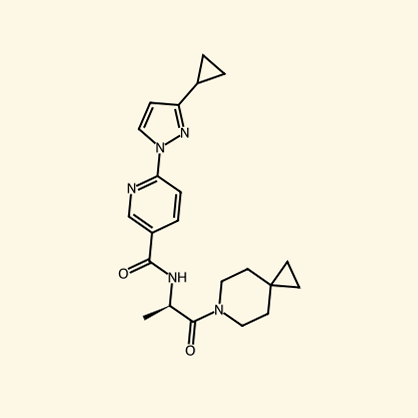 C[C@@H](NC(=O)c1ccc(-n2ccc(C3CC3)n2)nc1)C(=O)N1CCC2(CC1)CC2